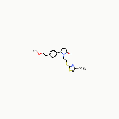 CCCOCCc1ccc(C2CCC(=O)N2CCSc2nc(C(=O)OCC)cs2)cc1